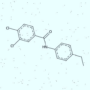 CCc1ccc(NC(=O)c2ccc(Cl)c(Cl)c2)cc1